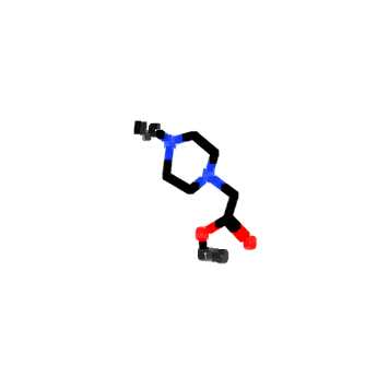 CN1CCN(CC(=O)OC=O)CC1